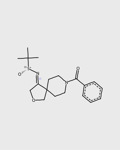 CC(C)(C)[S@@+]([O-])/N=C1\COCC12CCN(C(=O)c1ccccc1)CC2